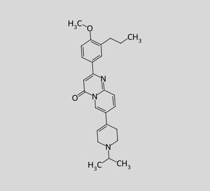 CCCc1cc(-c2cc(=O)n3cc(C4=CCN(C(C)C)CC4)ccc3n2)ccc1OC